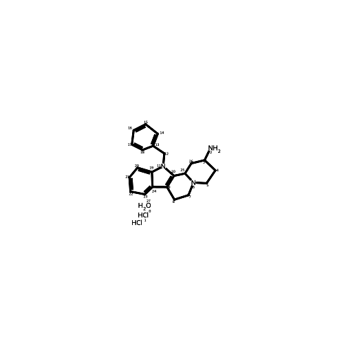 Cl.Cl.NC1CCN2CCc3c(n(Cc4ccccc4)c4ccccc34)C2C1.O